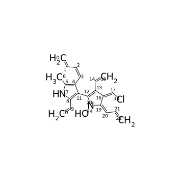 C=C/C=C\c1c(C)[nH]c(C=C)c1-c1c(C=C)c(=C/Cl)/c(=C\C=C)n1O